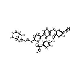 COC(=O)c1ccc(COc2ccc(C#N)cc2CN2CCN(C(=O)CNC(=O)CCCC3CC4CCCC(C3)C4)CC2)cc1